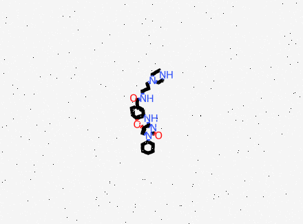 O=C(NCCCN1CCNCC1)c1ccc2c(c1)Nc1nc(=O)n(C3CCCCC3)cc1O2